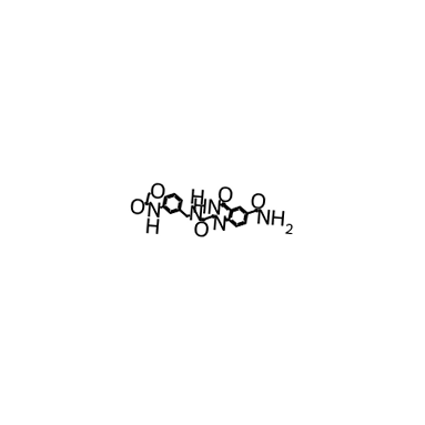 NC(=O)c1ccc2nc(C(=O)NCc3ccc4c(c3)NC(=O)CO4)[nH]c(=O)c2c1